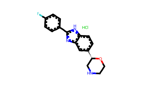 Cl.Fc1ccc(-c2nc3cc([C@H]4CNCCO4)ccc3[nH]2)cc1